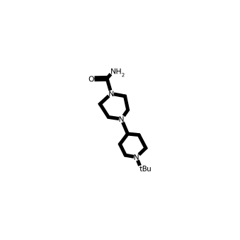 CC(C)(C)N1CCC(N2CCN(C(N)=O)CC2)CC1